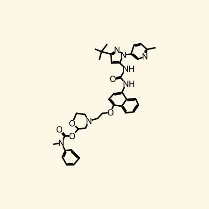 Cc1ccc(-n2nc(C(C)(C)C)cc2NC(=O)Nc2ccc(OCCN3CCOC(OC(=O)N(C)c4ccccc4)C3)c3ccccc23)cn1